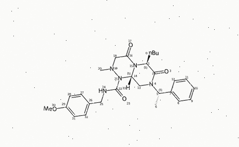 CCCC[C@H]1C(=O)N([C@@H](C)c2ccccc2)C[C@H]2N1C(=O)CN(C)N2C(=O)NCc1ccc(OC)cc1